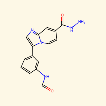 NNC(=O)c1ccn2c(-c3cccc(NC=O)c3)cnc2c1